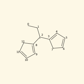 CC[C](C1=CC=CC1)C1=CC=CC1